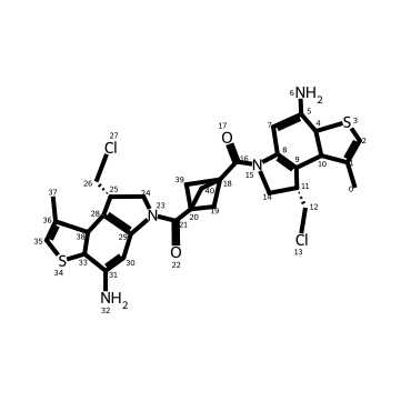 CC1=CSC2C(N)=CC3=C(C12)[C@H](CCl)CN3C(=O)C12CC(C(=O)N3C[C@@H](CCl)C4=C3C=C(N)C3SC=C(C)C43)(C1)C2